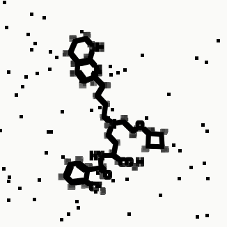 O=C(NC(CCN(CCCCc1ccc2c(n1)NCCC2)CCOC1CCC1)C(=O)O)c1ccccc1C(F)(F)F